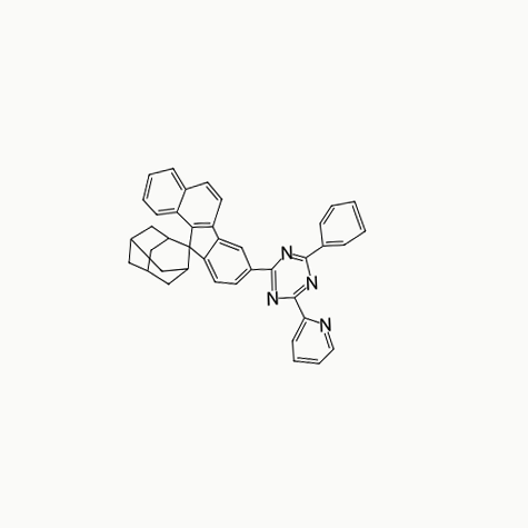 c1ccc(-c2nc(-c3ccc4c(c3)-c3ccc5ccccc5c3C43C4CC5CC(C4)CC3C5)nc(-c3ccccn3)n2)cc1